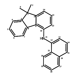 CC1(C)c2ccccc2-c2c(Nc3cccc4ccccc34)cccc21